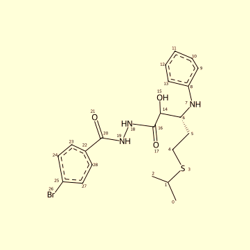 CC(C)SCC[C@@H](Nc1ccccc1)C(O)C(=O)NNC(=O)c1ccc(Br)cc1